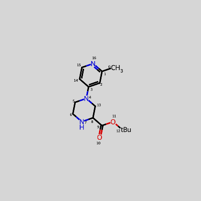 Cc1cc(N2CCNC(C(=O)OC(C)(C)C)C2)ccn1